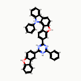 c1ccc(-c2nc(-c3ccc4c(c3)oc3ccc5c6ccccc6n(-c6ccccc6)c5c34)nc(-c3ccc4oc5ccccc5c4c3)n2)cc1